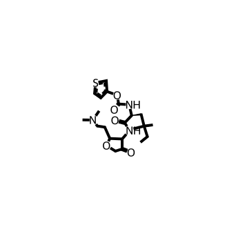 CCC(C)(C)C[C@H](NC(=O)Oc1ccsc1)C(=O)NC1C(=O)COC1CCN(C)C